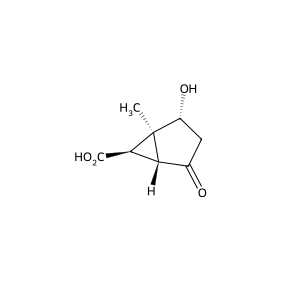 C[C@]12[C@H](O)CC(=O)[C@@H]1[C@H]2C(=O)O